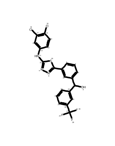 OC(c1cccc(-c2nnc(Nc3ccc(Cl)c(Cl)c3)s2)c1)c1cccc(C(F)(F)F)c1